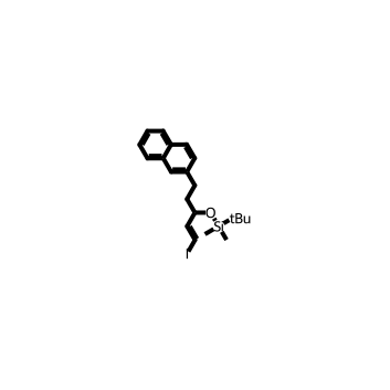 CC(C)(C)[Si](C)(C)OC(C=CI)CCc1ccc2ccccc2c1